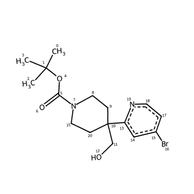 CC(C)(C)OC(=O)N1CCC(CO)(c2cc(Br)ccn2)CC1